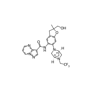 CC1(CO)Cc2cc(NC(=O)c3cnn4cccnc34)c(N3C[C@H]4C[C@@H]3CN4CC(F)(F)F)cc2O1